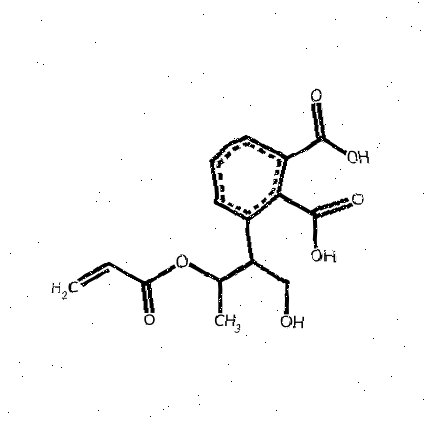 C=CC(=O)OC(C)C(CO)c1cccc(C(=O)O)c1C(=O)O